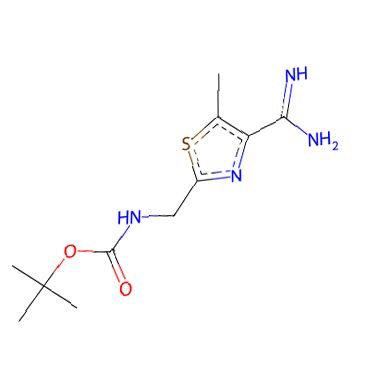 Cc1sc(CNC(=O)OC(C)(C)C)nc1C(=N)N